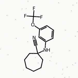 N#CC1(Nc2cccc(OC(F)(F)F)c2)CCCCCC1